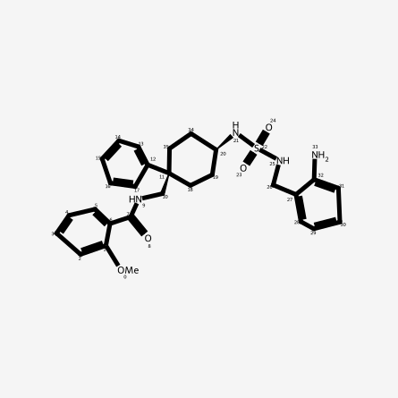 COc1ccccc1C(=O)NC[C@]1(c2ccccc2)CC[C@H](NS(=O)(=O)NCc2ccccc2N)CC1